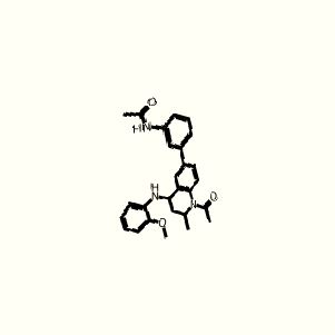 COc1ccccc1NC1CC(C)N(C(C)=O)c2ccc(-c3cccc(NC(C)=O)c3)cc21